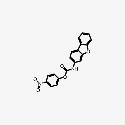 O=C(Nc1ccc2c(c1)oc1ccccc12)Oc1ccc([N+](=O)[O-])cc1